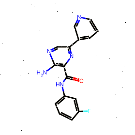 Nc1ncc(-c2cccnc2)nc1C(=O)Nc1cccc(F)c1